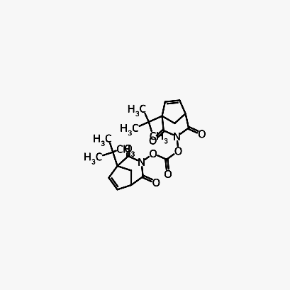 CC(C)(C)C12C=CC(C1)C(=O)N(OC(=O)ON1C(=O)C3C=CC(C(C)(C)C)(C3)C1=O)C2=O